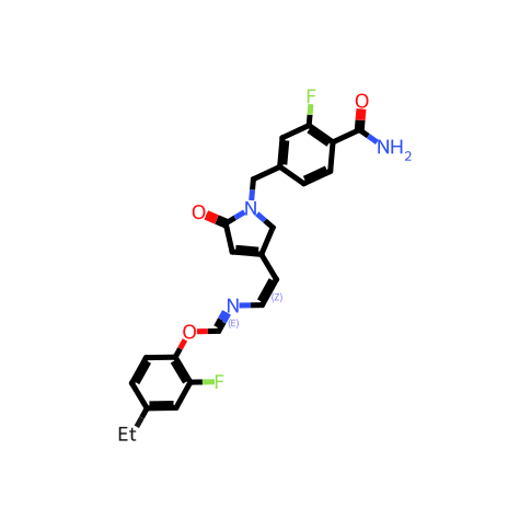 CCc1ccc(O/C=N/C=C\C2=CC(=O)N(Cc3ccc(C(N)=O)c(F)c3)C2)c(F)c1